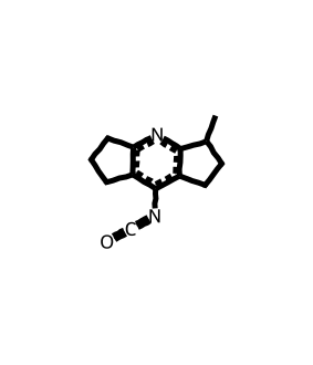 CC1CCc2c1nc1c(c2N=C=O)CCC1